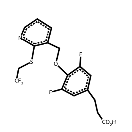 O=C(O)CCc1cc(F)c(OCc2cccnc2SCC(F)(F)F)c(F)c1